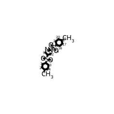 Cc1ccc(S(=O)(=O)c2cnn(S(=O)(=O)c3ccc(C)cc3)c2)cc1